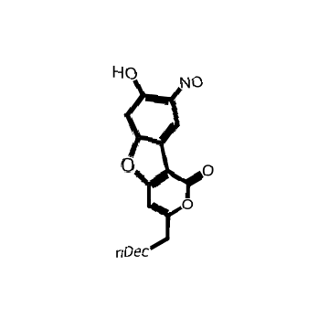 CCCCCCCCCCCc1cc2c(c(=O)o1)C1=CC(N=O)=C(O)CC1O2